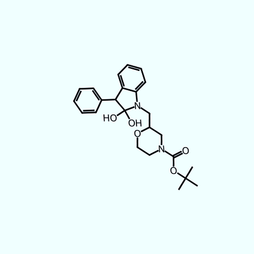 CC(C)(C)OC(=O)N1CCOC(CN2c3ccccc3C(c3ccccc3)C2(O)O)C1